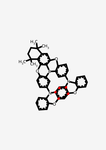 CC1(C)CCC(C)(C)c2c1cc1c3c2Oc2ccc(N4c5ccccc5Oc5ccccc54)cc2B3c2cc(N3c4ccccc4Oc4ccccc43)ccc2O1